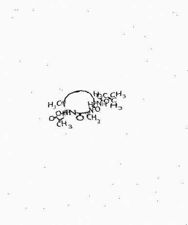 C[C@@H]1CCC=CCCC[C@H](NC(=O)OC(C)(C)C)C(=O)N[C@@H](C)C(=O)N[C@H]([C@@H]2C[C@@H](C)C(=O)O2)C1